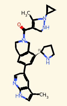 CC1=C(C(=O)N2CCc3cc(-c4cnc5[nH]cc(C)c5c4)cc([C@@H]4CCCN4)c3C2)CNN1C1CC1